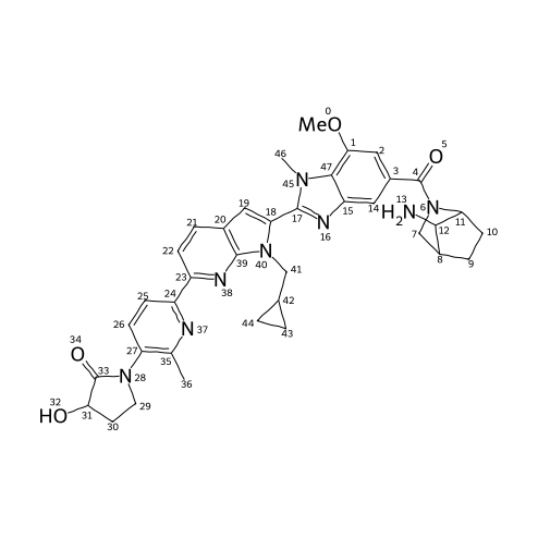 COc1cc(C(=O)N2CC3CCC2C3N)cc2nc(-c3cc4ccc(-c5ccc(N6CCC(O)C6=O)c(C)n5)nc4n3CC3CC3)n(C)c12